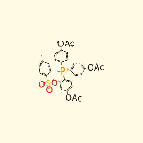 CC(=O)Oc1ccc([P+](C)(c2ccc(OC(C)=O)cc2)c2ccc(OC(C)=O)cc2)cc1.Cc1ccc(S(=O)(=O)[O-])cc1